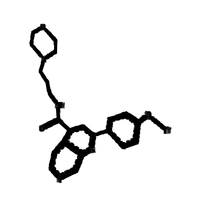 CCOc1ccc(-c2cc(C(=O)NCCCN3CCOCC3)c3ccncc3n2)cc1